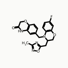 Cc1noc(CC2COc3cc(F)ccc3N2Cc2ccc3c(c2)NC(=O)CO3)n1